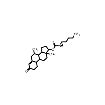 CCCCCNC(=O)OC1CCC2C3C(C)CC4=CC(=O)CCC4C3CCC12C